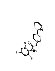 O=C(CN1CC=C(C2=NC=CCC2)CC1)Nc1c(F)cc(F)cc1F